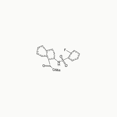 COC(=O)c1c(NS(=O)(=O)c2ccccc2F)ccc2ccccc12